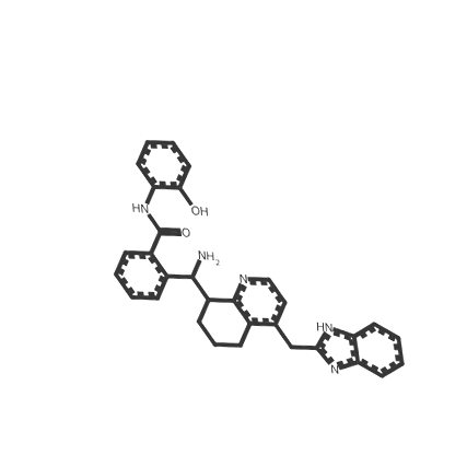 NC(c1ccccc1C(=O)Nc1ccccc1O)C1CCCc2c(Cc3nc4ccccc4[nH]3)ccnc21